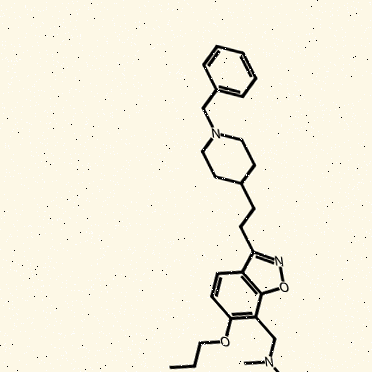 CCCOc1ccc2c(CCC3CCN(Cc4ccccc4)CC3)noc2c1CN(C)C